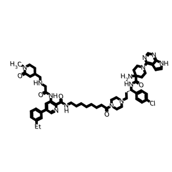 CCc1cccc(-c2cnc(C(=O)NCCCCCCCC(=O)N3CCN(CC[C@H](NC(=O)C4(N)CCN(c5ncnc6[nH]ccc56)CC4)c4ccc(Cl)cc4)CC3)c(NC(=O)CNCC3CCN(C)C(=O)C3)c2)c1